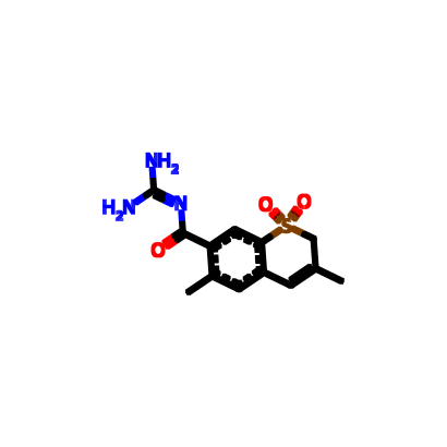 CC1=Cc2cc(C)c(C(=O)N=C(N)N)cc2S(=O)(=O)C1